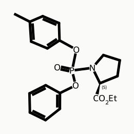 CCOC(=O)[C@@H]1CCCN1P(=O)(Oc1ccccc1)Oc1ccc(C)cc1